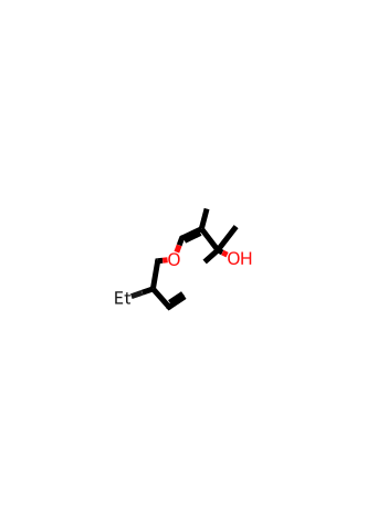 C=CC(CC)COC=C(C)C(C)(C)O